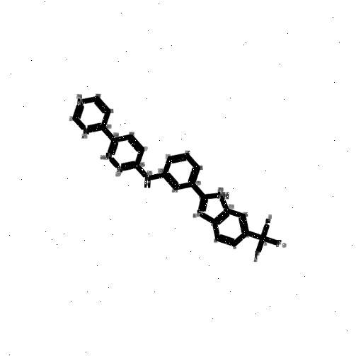 FC(F)(F)c1ccc2nc(-c3cccc(Nc4ccc(-c5ccncn5)nn4)c3)[nH]c2c1